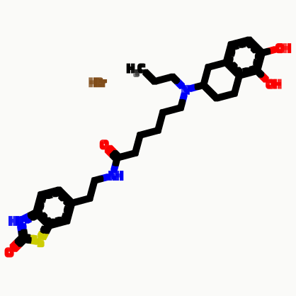 Br.CCCN(CCCCCC(=O)NCCc1ccc2[nH]c(=O)sc2c1)C1CCc2c(ccc(O)c2O)C1